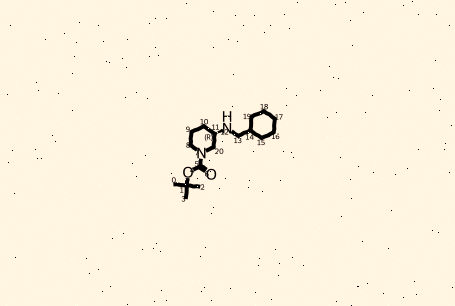 CC(C)(C)OC(=O)N1CCC[C@@H](NCC2CCCCC2)C1